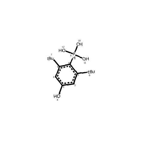 CC(C)(C)c1cc(O)cc(C(C)(C)C)c1[PH](O)(O)O